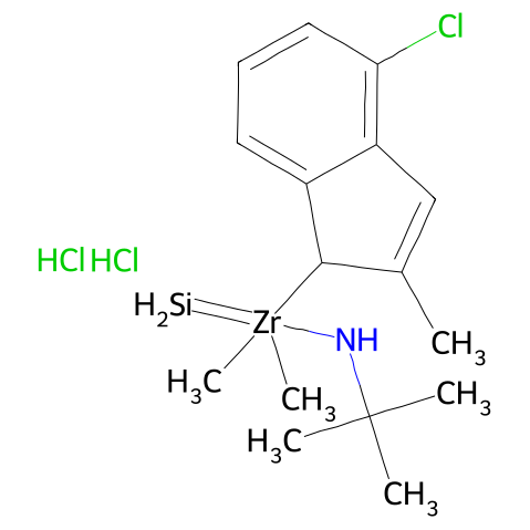 CC1=Cc2c(Cl)cccc2[CH]1[Zr]([CH3])([CH3])(=[SiH2])[NH]C(C)(C)C.Cl.Cl